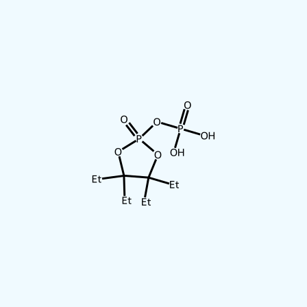 CCC1(CC)OP(=O)(OP(=O)(O)O)OC1(CC)CC